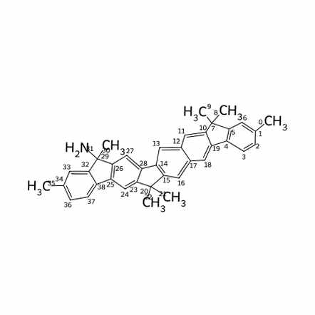 Cc1ccc2c(c1)C(C)(C)c1cc3cc4c(cc3cc1-2)C(C)(C)c1cc2c(cc1-4)C(C)(N)c1cc(C)ccc1-2